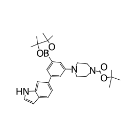 CC(C)(C)OC(=O)N1CCN(c2cc(B3OC(C)(C)C(C)(C)O3)cc(-c3ccc4cc[nH]c4c3)c2)CC1